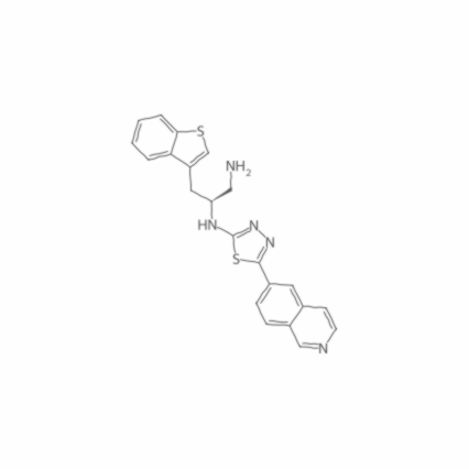 NC[C@H](Cc1csc2ccccc12)Nc1nnc(-c2ccc3cnccc3c2)s1